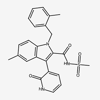 Cc1ccc2c(c1)c(-c1ccc[nH]c1=O)c(C(=O)NS(C)(=O)=O)n2Cc1ccccc1C